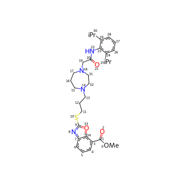 COC(=O)c1cccc2nc(SCCCN3CCCN(CC(=O)Nc4c(C(C)C)cccc4C(C)C)CC3)oc12